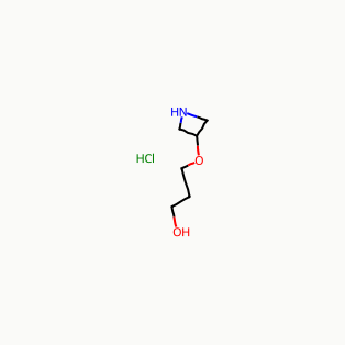 Cl.OCCCOC1CNC1